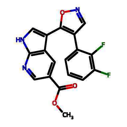 COC(=O)c1cnc2[nH]cc(-c3oncc3-c3cccc(F)c3F)c2c1